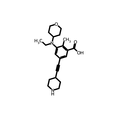 CCN(c1cc(C#CC2CCNCC2)cc(C(=O)O)c1C)C1CCOCC1